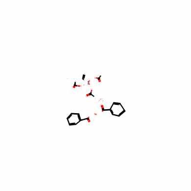 C=C[Si](OC(C)=O)(OC(C)=O)OC(C)=O.O=C(OOC(=O)c1ccccc1)c1ccccc1